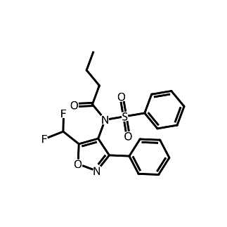 CCCC(=O)N(c1c(-c2ccccc2)noc1C(F)F)S(=O)(=O)c1ccccc1